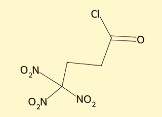 O=C(Cl)CCC([N+](=O)[O-])([N+](=O)[O-])[N+](=O)[O-]